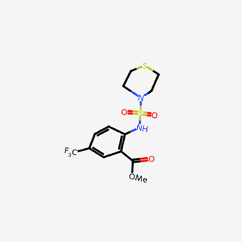 COC(=O)c1cc(C(F)(F)F)ccc1NS(=O)(=O)N1CCSCC1